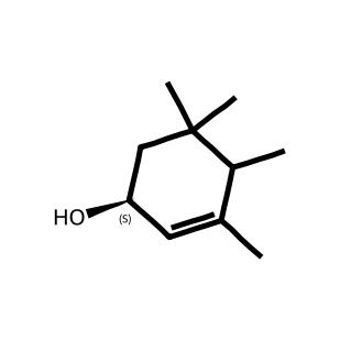 CC1=C[C@@H](O)CC(C)(C)C1C